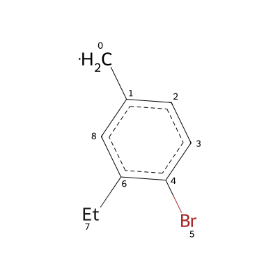 [CH2]c1ccc(Br)c(CC)c1